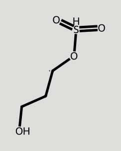 O=[SH](=O)O[CH]CCO